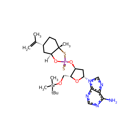 C=C(C)[C@@H]1CC[C@]2(C)SP(=S)(O[C@H]3C[C@H](n4cnc5c(N)ncnc54)O[C@@H]3CO[Si](C)(C)C(C)(C)C)O[C@H]2C1